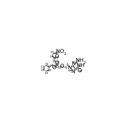 Nc1nc2c(ncn2CCOCP(OCc2ccccc2)OCc2ccc([N+](=O)[O-])o2)c(=O)[nH]1